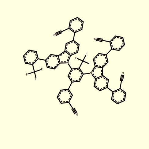 N#Cc1cccc(-c2cc(-n3c4ccc(-c5ccccc5C#N)cc4c4cc(-c5ccccc5C#N)ccc43)c(C(F)(F)F)c(-n3c4ccc(-c5ccccc5C#N)cc4c4cc(-c5ccccc5C(F)(F)F)ccc43)c2)c1